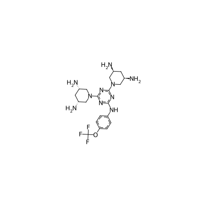 N[C@@H]1C[C@H](N)CN(c2nc(Nc3ccc(OC(F)(F)F)cc3)nc(N3C[C@H](N)C[C@H](N)C3)n2)C1